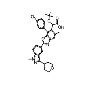 Cc1cc2nc(-c3ccc4c(c3)c(C3=CCOCC3)nn4C)sc2c(-c2ccc(Cl)cc2)c1C(OC(C)(C)C)C(=O)O